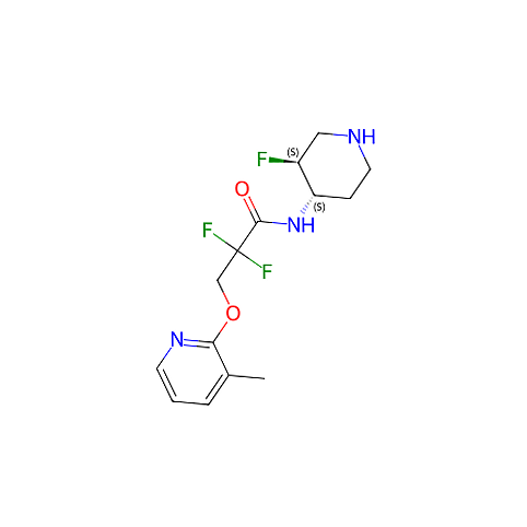 Cc1cccnc1OCC(F)(F)C(=O)N[C@H]1CCNC[C@@H]1F